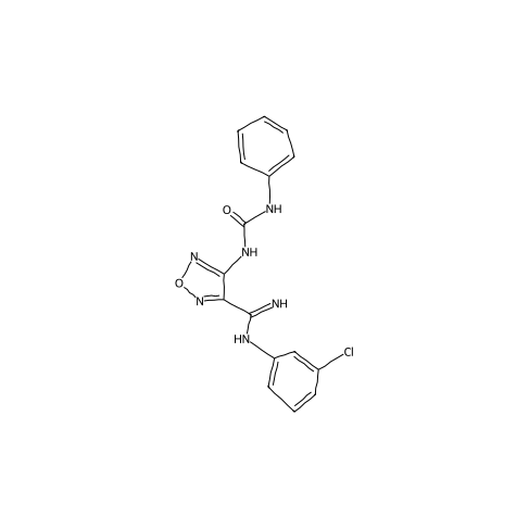 N=C(Nc1cccc(Cl)c1)c1nonc1NC(=O)Nc1ccccc1